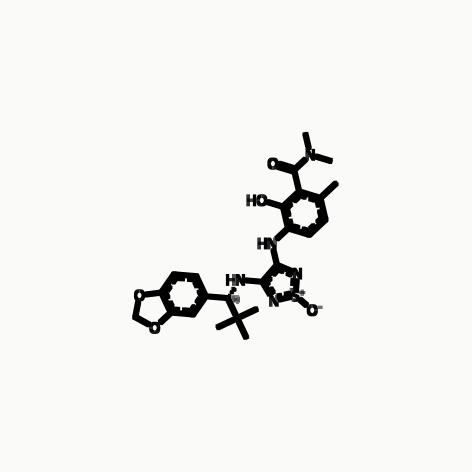 Cc1ccc(Nc2n[s+]([O-])nc2N[C@@H](c2ccc3c(c2)OCO3)C(C)(C)C)c(O)c1C(=O)N(C)C